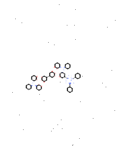 c1ccc(-c2nc(-c3ccccc3)nc(-c3cc4c5c(c3)N(c3ccccc3)c3cccc6c3B5c3c(cc(-c5cc7c8c(c5)Oc5cccc9c5B8c5c(cccc5N9c5ccccc5)O7)cc3O4)O6)n2)cc1